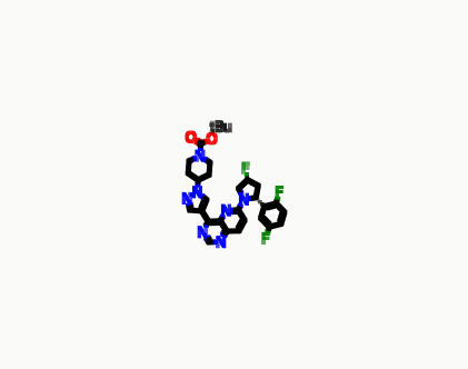 CC(C)(C)OC(=O)N1CCC(n2cc(-c3ncnc4ccc(N5C[C@@H](F)C[C@@H]5c5cc(F)ccc5F)nc34)cn2)CC1